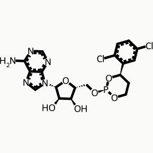 Nc1ncnc2c1ncn2[C@@H]1O[C@H](CO[P@]2OCC[C@H](c3cc(Cl)ccc3Cl)O2)[C@@H](O)[C@H]1O